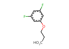 O=C(O)CCOc1cc(F)cc(F)c1